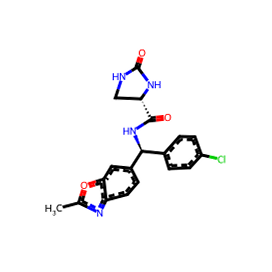 Cc1nc2ccc([C@@H](NC(=O)[C@@H]3CNC(=O)N3)c3ccc(Cl)cc3)cc2o1